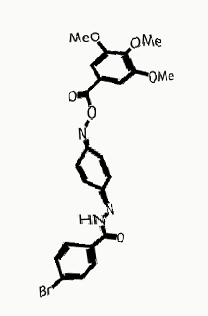 COc1cc(C(=O)ON=C2C=CC(=NNC(=O)c3ccc(Br)cc3)C=C2)cc(OC)c1OC